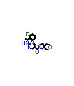 CC(Nc1ncc(C(=O)N2CCC3(CCOCC3)C2)cn1)c1ccccc1F